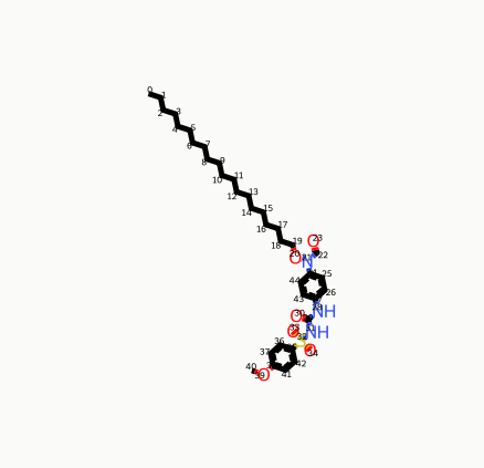 CCCCCCCCCCCCCCCCCCCCON(C=O)c1ccc(NC(=O)NS(=O)(=O)c2ccc(OC)cc2)cc1